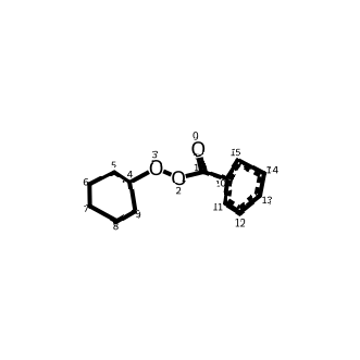 O=C(OO[C]1CCCCC1)c1ccccc1